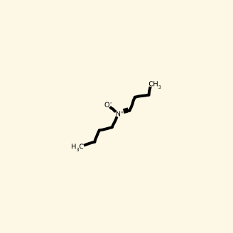 CCCC=[N+]([O-])CCCC